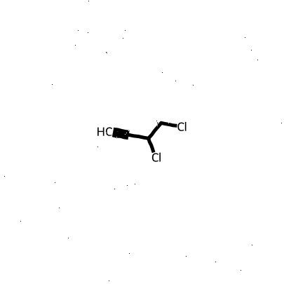 C#CC(Cl)[CH]Cl